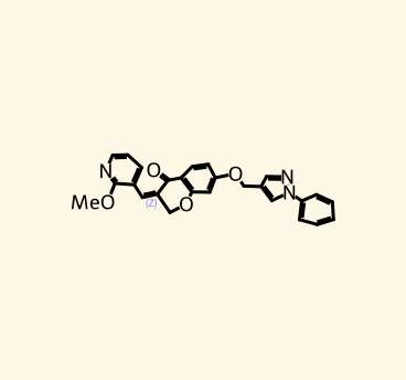 COc1ncccc1/C=C1/COc2cc(OCc3cnn(-c4ccccc4)c3)ccc2C1=O